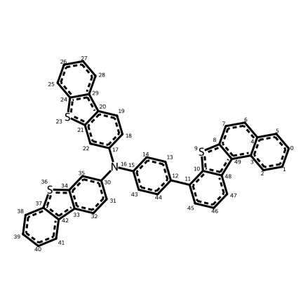 c1ccc2c(c1)ccc1sc3c(-c4ccc(N(c5ccc6c(c5)sc5ccccc56)c5ccc6c(c5)sc5ccccc56)cc4)cccc3c12